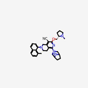 Cc1cccc2cccc(N3CCc4c(N5CC6CCC(C5)N6)nc(OC[C@@H]5CCCN5C)c(C#N)c4C3)c12